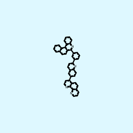 c1cc(-c2ccc3cc(-c4ccnc5c4ccc4cccnc45)ccc3n2)cc(-c2nc3ccccc3c3c2ccc2ccccc23)c1